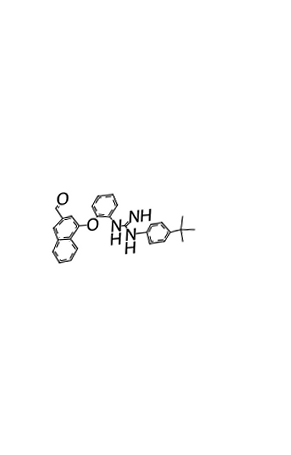 CC(C)(C)c1ccc(NC(=N)Nc2ccccc2Oc2cc(C=O)cc3ccccc23)cc1